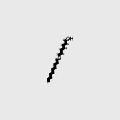 CCCCCCCCCCOCCCCCCCO